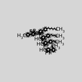 CCCCCCCc1ccc(-c2ccc(O)c(F)c2F)cc1.CCCCCc1ccc(-c2ccc(O)c(F)c2F)cc1.CCCc1ccc(-c2ccc(O)c(F)c2F)cc1.CCc1ccccc1-c1ccc(O)c(F)c1F.Cc1ccc(-c2ccc(O)c(F)c2F)cc1